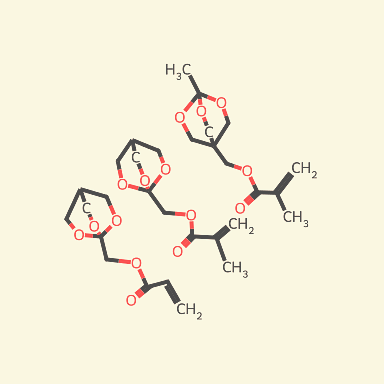 C=C(C)C(=O)OCC12COC(C)(OC1)OC2.C=C(C)C(=O)OCC12OCC(CO1)CO2.C=CC(=O)OCC12OCC(CO1)CO2